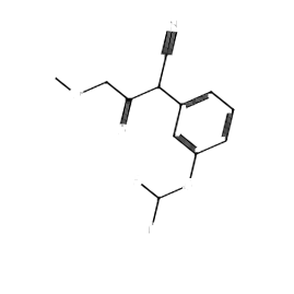 COCC(=O)C(C#N)c1cccc(OC(F)F)c1